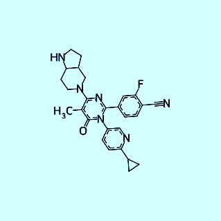 Cc1c(N2CCC3NCCC3C2)nc(-c2ccc(C#N)c(F)c2)n(-c2ccc(C3CC3)nc2)c1=O